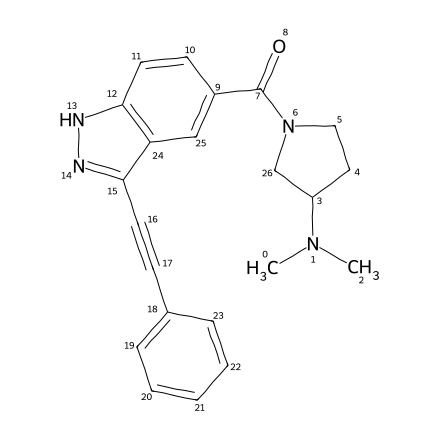 CN(C)C1CCN(C(=O)c2ccc3[nH]nc(C#Cc4ccccc4)c3c2)C1